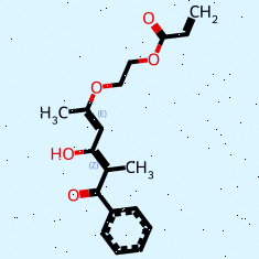 C=CC(=O)OCCO/C(C)=C/C(O)=C(\C)C(=O)c1ccccc1